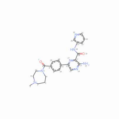 CN1CCCN(C(=O)c2ccc(-c3cnc(N)c(C(=O)Nc4cccnc4)n3)cc2)CC1